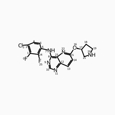 Fc1c(Cl)ccc(Nc2ncnc3ccc(O[C@H]4CCNC4)nc23)c1F